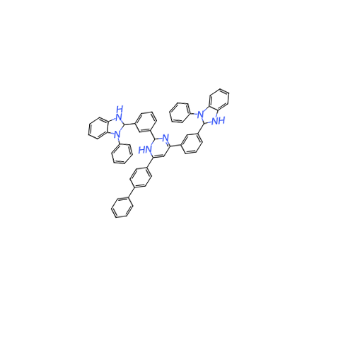 C1=C(c2ccc(-c3ccccc3)cc2)NC(c2cccc(C3Nc4ccccc4N3c3ccccc3)c2)N=C1c1cccc(C2Nc3ccccc3N2c2ccccc2)c1